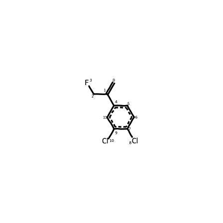 C=C(CF)c1ccc(Cl)c(Cl)c1